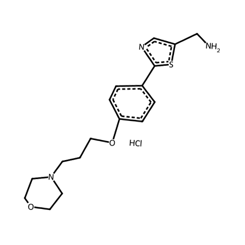 Cl.NCc1cnc(-c2ccc(OCCCN3CCOCC3)cc2)s1